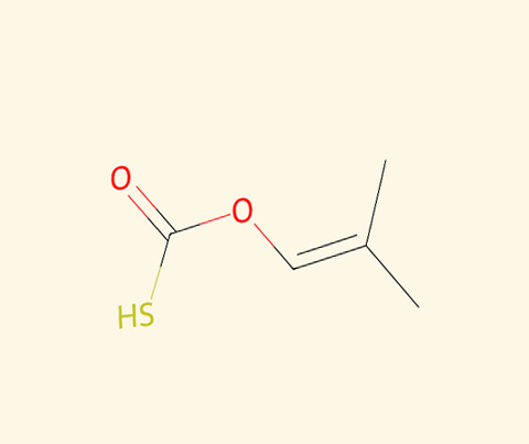 CC(C)=COC(=O)S